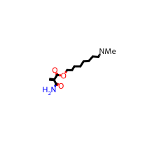 C=C(C(N)=O)C(=O)OCCCCCCCCNC